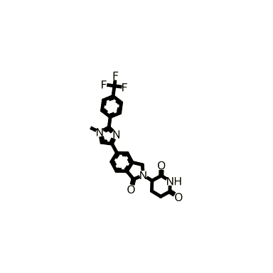 Cn1cc(-c2ccc3c(c2)CN(C2CCC(=O)NC2=O)C3=O)nc1-c1ccc(C(F)(F)F)cc1